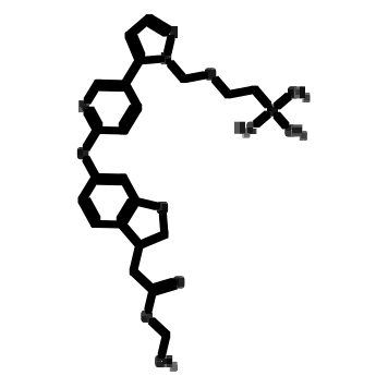 CCOC(=O)CC1COc2cc(Oc3ccc(-c4ccnn4COCC[Si](C)(C)C)cn3)ccc21